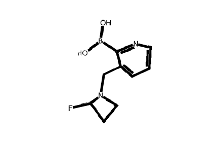 OB(O)c1ncccc1CN1CCC1F